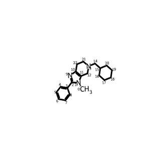 Cn1c(-c2ccccc2)nc2c1CN(CC1CCCCC1)CC2